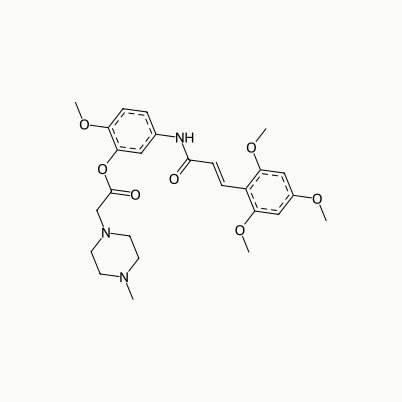 COc1cc(OC)c(/C=C/C(=O)Nc2ccc(OC)c(OC(=O)CN3CCN(C)CC3)c2)c(OC)c1